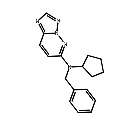 c1ccc(CN(c2ccc3ncnn3n2)C2CCCC2)cc1